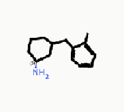 Cc1ccccc1CC1CCC[C@H](N)C1